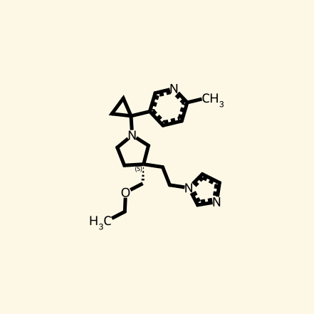 CCOC[C@]1(CCn2ccnc2)CCN(C2(c3ccc(C)nc3)CC2)C1